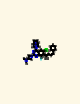 CC/C(=C\C=C/c1ccccc1)c1c(Cl)cc2c(N3CC4CCC(C3)N4)nc(N3CC(N(C)C)C3)nc2c1F